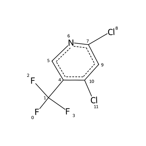 FC(F)(F)c1cnc(Cl)cc1Cl